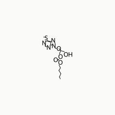 CCCCCCOC(=O)OCC(CO)OCn1cnc2c(SC)ncnc21